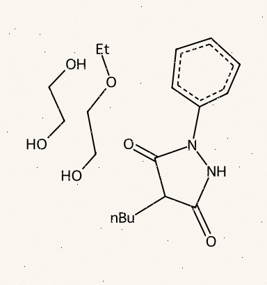 CCCCC1C(=O)NN(c2ccccc2)C1=O.CCOCCO.OCCO